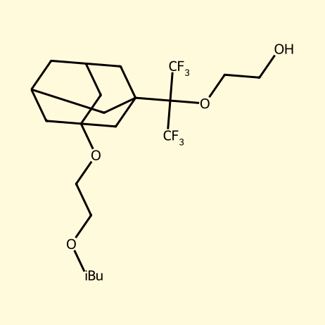 CCC(C)OCCOC12CC3CC(C1)CC(C(OCCO)(C(F)(F)F)C(F)(F)F)(C3)C2